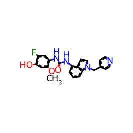 COc1cc(O)c(F)cc1NC(=O)Nc1cccc2c1ccn2Cc1ccncc1